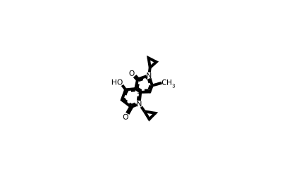 Cc1cc2c(c(O)cc(=O)n2C2CC2)c(=O)n1C1CC1